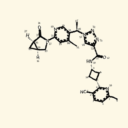 Cc1ccc(C#N)c([C@H]2C[C@@H](NC(=O)c3cn([C@H](C)c4cnc(N5C[C@H]6C[C@H]6C5=O)cc4C)nn3)C2)n1